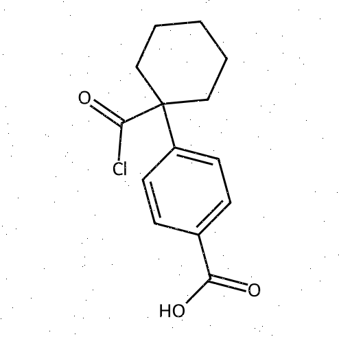 O=C(O)c1ccc(C2(C(=O)Cl)CCCCC2)cc1